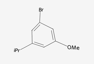 [CH2]C(C)c1cc(Br)cc(OC)c1